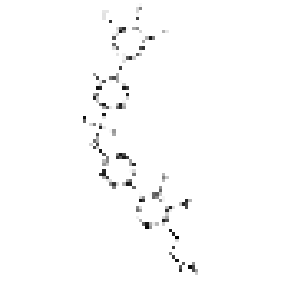 CCCc1ccc(-c2ccc(OC(F)(F)c3ccc(-c4cc(F)c(F)c(F)c4)c(F)c3)cc2)c(F)c1F